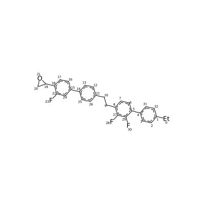 CCc1ccc(-c2ccc(CCc3ccc(-c4ccc(C5CO5)c(F)c4)cc3)c(F)c2F)cc1